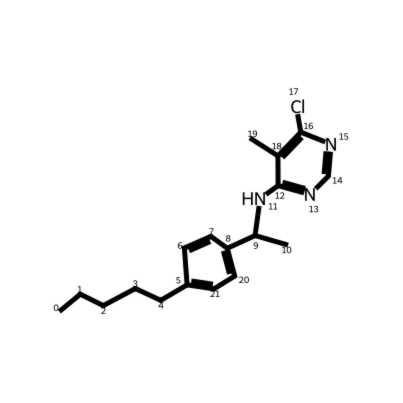 CCCCCc1ccc(C(C)Nc2ncnc(Cl)c2C)cc1